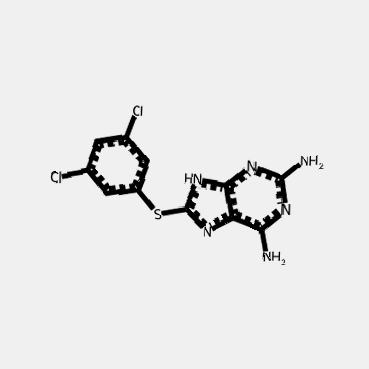 Nc1nc(N)c2nc(Sc3cc(Cl)cc(Cl)c3)[nH]c2n1